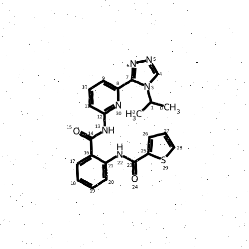 CC(C)n1cnnc1-c1cccc(NC(=O)c2ccccc2NC(=O)c2cccs2)n1